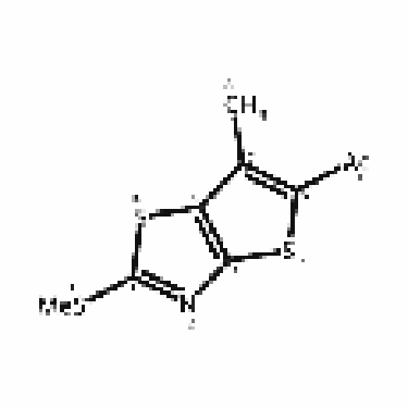 CSc1nc2sc(C(C)=O)c(C)c2s1